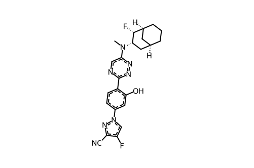 CN(c1cnc(-c2ccc(-n3cc(F)c(C#N)n3)cc2O)nn1)[C@H]1C[C@@H]2CCC[C@@H](C2)[C@H]1F